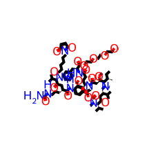 CC[C@H](C)[C@@H]([C@@H](CC(=O)N1CCC[C@H]1[C@H](OC)[C@@H](C)C(=O)N[C@@H](Cc1ccccc1)C(=O)OCCOCCOCCOC)OC)N(C)C[C@@H](CC(=O)[C@H](C(C)C)N(C)C(=O)OCc1ccc(NC(=O)[C@H](CCCNC(N)=O)CC(=O)[C@@H](NC(=O)CCCCCN2C(=O)C=CC2=O)C(C)C)cc1)C(C)C